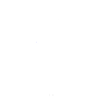 CCCCCCOc1ccc(-c2cnc(-c3ccc(C(=O)O)cc3)o2)cc1